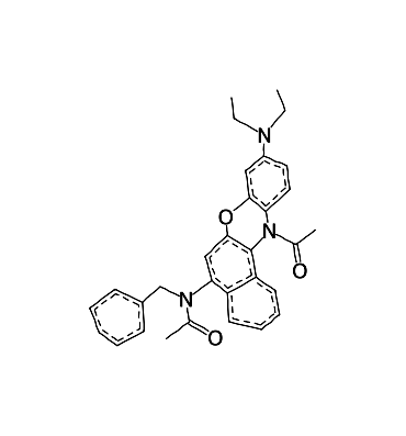 CCN(CC)c1ccc2c(c1)Oc1cc(N(Cc3ccccc3)C(C)=O)c3ccccc3c1N2C(C)=O